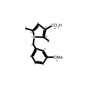 COc1cccc(Cn2c(C)cc(C(=O)O)c2C)c1